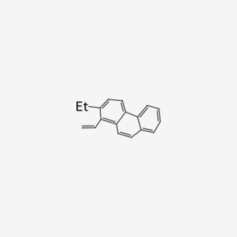 C=Cc1c(CC)ccc2c1ccc1ccccc12